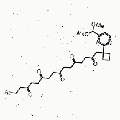 COC(OC)c1ccnc(C2(CC(=O)CCC(=O)CCC(=O)CCC(=O)CCC(=O)CCC(C)=O)CCC2)n1